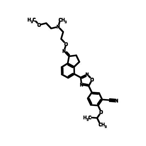 COCCN(C)CCON=C1CCc2c1cccc2-c1noc(-c2ccc(OC(C)C)c(C#N)c2)n1